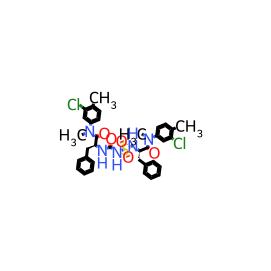 Cc1ccc(N(C)C(=O)[C@H](Cc2ccccc2)NC(=O)NS(=O)(=O)N[C@@H](Cc2ccccc2)C(=O)N(C)c2ccc(C)c(Cl)c2)cc1Cl